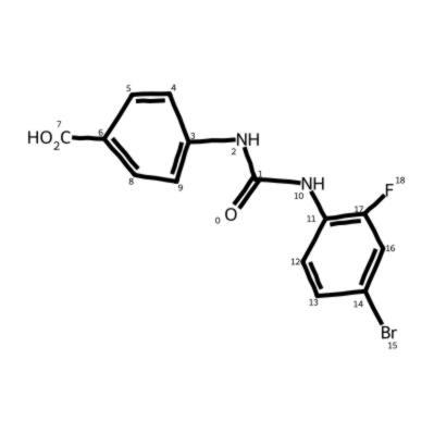 O=C(Nc1ccc(C(=O)O)cc1)Nc1ccc(Br)cc1F